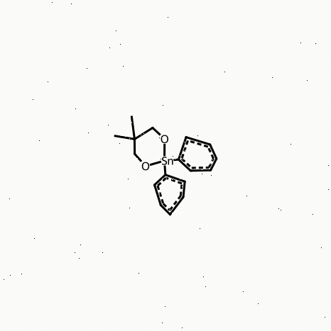 CC1(C)C[O][Sn]([c]2ccccc2)([c]2ccccc2)[O]C1